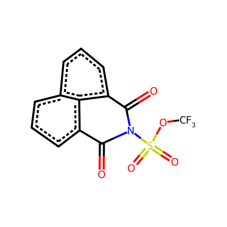 O=C1c2cccc3cccc(c23)C(=O)N1S(=O)(=O)OC(F)(F)F